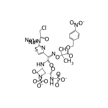 CC(C)(ON=C(C(=O)N[C@H]1C(=O)N(S(=O)(=O)[O-])[C@H]1C(=O)NS(=O)(=O)[O-])c1csc(NC(=O)CCl)n1)C(=O)OCc1ccc([N+](=O)[O-])cc1.[Na+].[Na+]